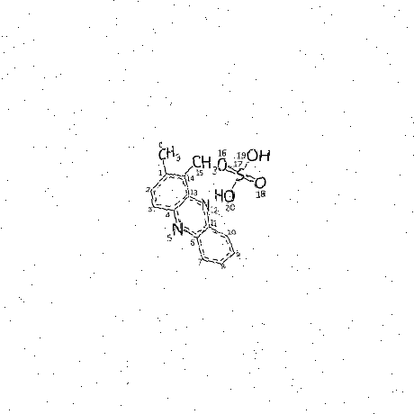 Cc1ccc2nc3ccccc3nc2c1C.O=S(=O)(O)O